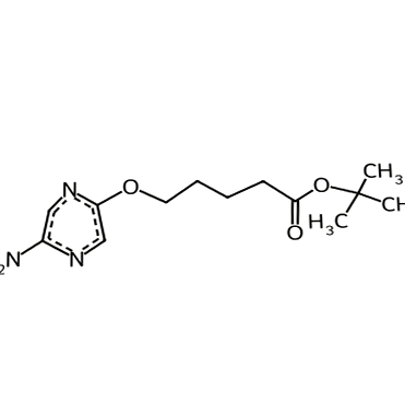 CC(C)(C)OC(=O)CCCCOc1cnc(N)cn1